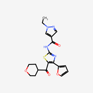 CCn1cc(C(=O)Nc2nc(-c3ccco3)c(C(=O)C3CCOCC3)s2)cn1